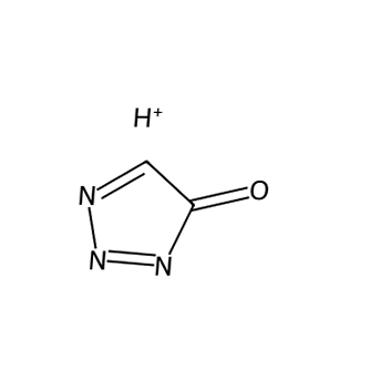 O=C1C=NN=N1.[H+]